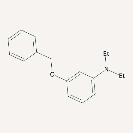 CCN(CC)c1cccc(OCc2ccccc2)c1